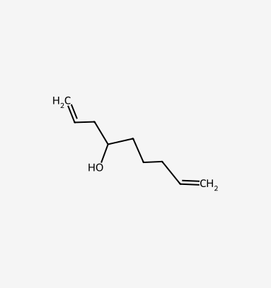 C=CCCCC(O)CC=C